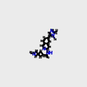 C=C(Nc1cc2cc(-c3cnc(C)n3C)ccc2cn1)C1CC2(C1)CN(C)C2